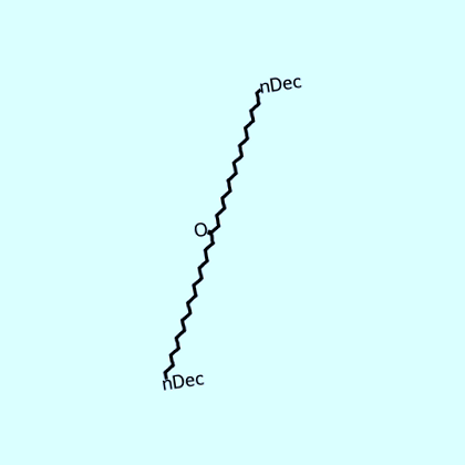 CCCCCCCCCCCCCCCCCCCCCCCCCCC(=O)CCCCCCCCCCCCCCCCCCCCCCCCCC